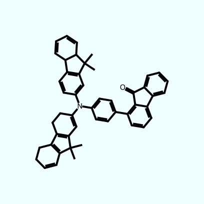 CC1(C)C2=C(CCC=C2)C2=C1C=C(N(c1ccc(-c3cccc4c3C(=O)c3ccccc3-4)cc1)c1ccc3c(c1)C(C)(C)C1C=CC=CC31)CC2